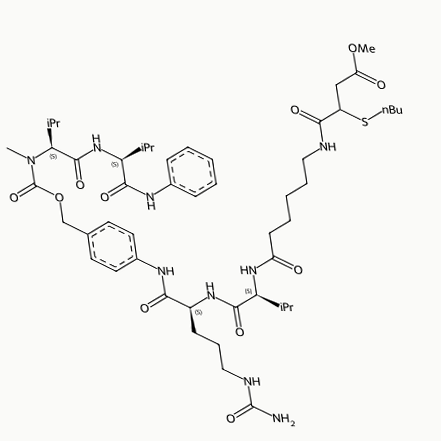 CCCCSC(CC(=O)OC)C(=O)NCCCCCC(=O)N[C@H](C(=O)N[C@@H](CCCNC(N)=O)C(=O)Nc1ccc(COC(=O)N(C)[C@H](C(=O)N[C@H](C(=O)Nc2ccccc2)C(C)C)C(C)C)cc1)C(C)C